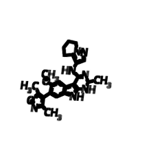 COc1cc2c3c([nH]c2cc1-c1c(C)noc1C)NC(C)N=C3Nc1cnn2c1CCCC2